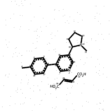 Cc1ccc(-c2cncc(C3CCCN3C)c2)cc1.O=C(O)C=CC(=O)O